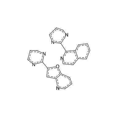 c1cnc(-c2cc3ncccc3o2)nc1.c1cnc(-c2nccc3ccccc23)nc1